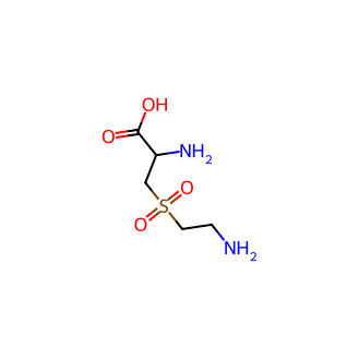 NCCS(=O)(=O)CC(N)C(=O)O